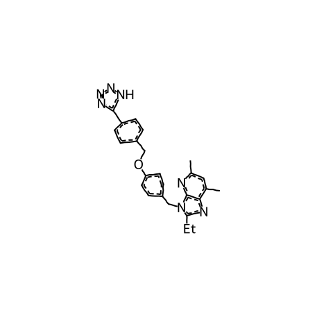 CCc1nc2c(C)cc(C)nc2n1Cc1ccc(OCc2ccc(-c3nnn[nH]3)cc2)cc1